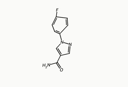 NC(=O)c1cnn(-c2ccc(F)cc2)c1